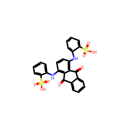 O=C1c2ccccc2C(=O)c2c(Nc3ccccc3S(=O)(=O)O)ccc(Nc3ccccc3S(=O)(=O)O)c21